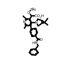 Cc1nc(C)c(C(OC(C)(C)C)C(=O)O)c(N2CC3C(C2)C3(C)C)c1-c1ccc(C(=O)NCc2ccccc2)cc1